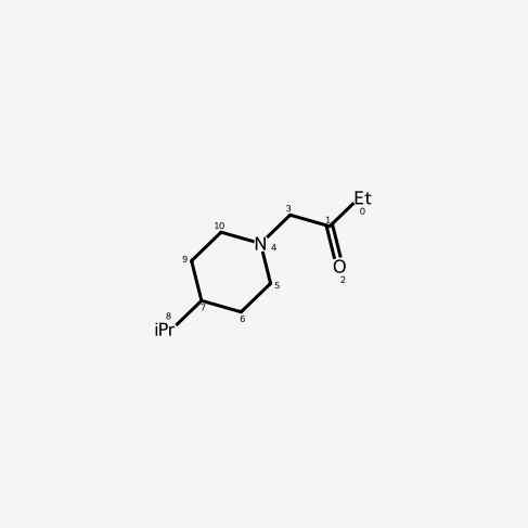 CCC(=O)CN1CCC(C(C)C)CC1